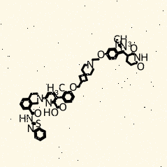 Cc1c(OCC2CC3(CCN(CCOc4ccc5c(C6CCC(=O)NC6=O)nn(C)c5c4)CC3)C2)cccc1-c1ccc(N2CCc3cccc(C(=O)Nc4nc5ccccc5s4)c3C2)nc1C(=O)O